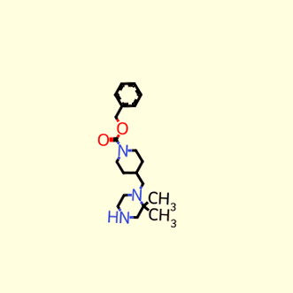 CC1(C)CNCCN1CC1CCN(C(=O)OCc2ccccc2)CC1